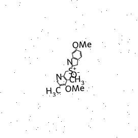 COc1ccc2c(c1)N=C([S+]([O-])Cc1ncc(C)c(OC)c1C)C2